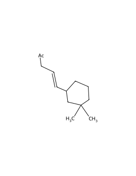 CC(=O)CC=CC1CCCC(C)(C)C1